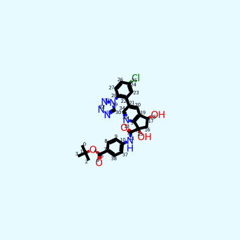 CC(C)(C)OC(=O)c1ccc(NC(=O)C2(O)CC(O)c3cc(-c4cc(Cl)ccc4-n4cnnn4)cnc32)cc1